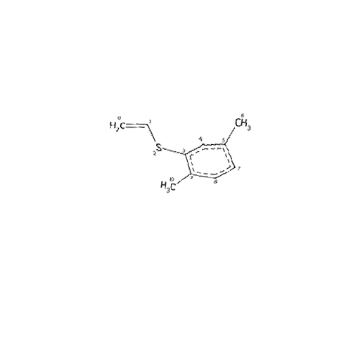 C=CSc1cc(C)ccc1C